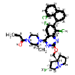 C=CC(=O)N1CCN(c2nc(OC[C@@]34CCCN3C[C@H](F)C4)nc3c(F)c(-c4cccc5cccc(Cl)c45)c(F)cc23)[C@@H](C)C1